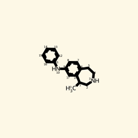 CC1CNCCc2ccc(Nc3ccccc3)cc21